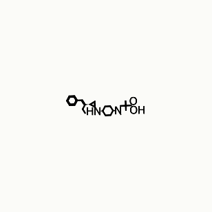 CC/C(=C\c1ccccc1)[C@@H]1C[C@H]1N[C@H]1CC[C@H](N(C)CC(C)(C)C(=O)O)CC1